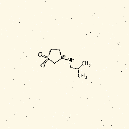 CC(C)CN[C@@H]1CCS(=O)(=O)C1